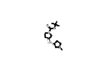 CN1CC[C@@H](N[C@H]2CCN(C(=O)OC(C)(C)C)C2)C1